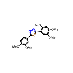 COc1ccc(-c2nnc(-c3cc(OC)c(OC)cc3[N+](=O)[O-])s2)cc1OC